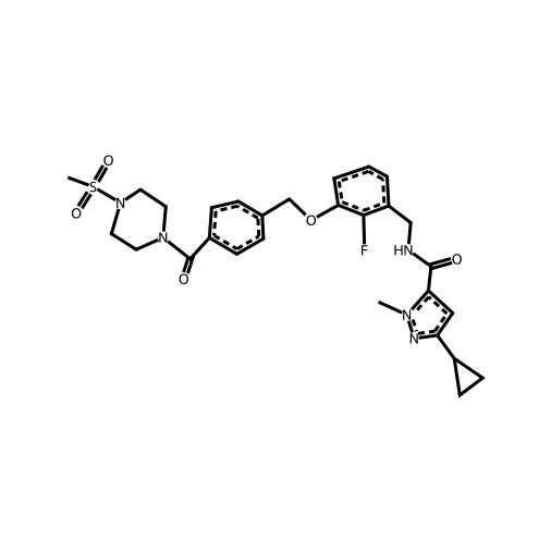 Cn1nc(C2CC2)cc1C(=O)NCc1cccc(OCc2ccc(C(=O)N3CCN(S(C)(=O)=O)CC3)cc2)c1F